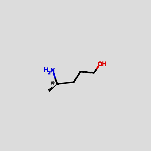 C[C@H](N)CCCO